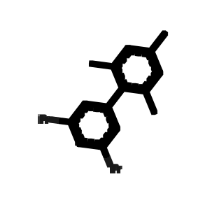 Cc1cc(C)c(-c2cc(C(C)C)[c]c(C(C)C)c2)c(C)c1